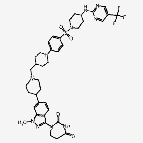 Cn1nc(N2CCC(=O)NC2=O)c2ccc(C3CCN(CC4CCN(c5ccc(S(=O)(=O)N6CCC(Nc7ncc(C(F)(F)F)cn7)CC6)cc5)CC4)CC3)cc21